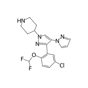 FC(F)Oc1ccc(Cl)cc1-c1nn(C2CCNCC2)cc1-n1cccn1